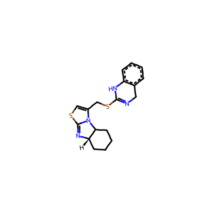 C1=C(CSC2=NCc3ccccc3N2)N2C(=N[C@H]3CCCCC32)S1